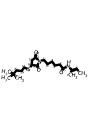 C/C=C(\C)NC(=O)CCCCCN1C(=O)CC(SCCCC(C)(C)C)C1=O